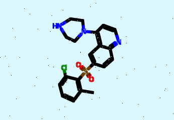 Cc1cccc(Cl)c1S(=O)(=O)c1ccc2nccc(N3CCNCC3)c2c1